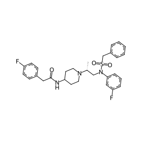 C[C@H](CN(c1cccc(F)c1)S(=O)(=O)Cc1ccccc1)N1CCC(NC(=O)Cc2ccc(F)cc2)CC1